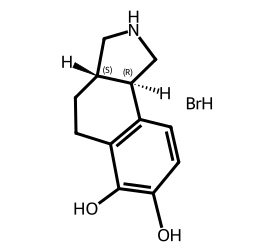 Br.Oc1ccc2c(c1O)CC[C@@H]1CNC[C@@H]21